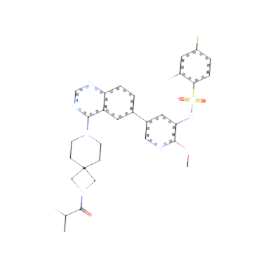 COc1ncc(-c2ccc3ncnc(N4CCC5(CC4)CN(C(=O)C(C)F)C5)c3c2)cc1NS(=O)(=O)c1ccc(F)cc1F